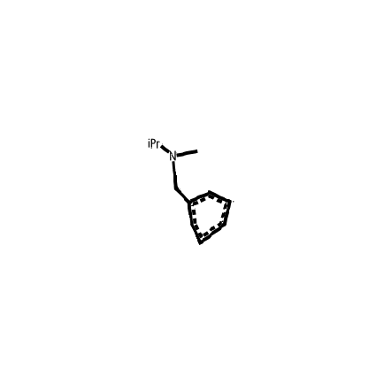 CC(C)N(C)Cc1c[c]ccc1